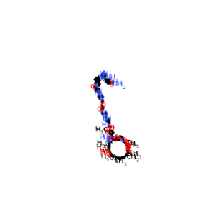 CO[C@H]1C[C@@H]2CC[C@@H](C)[C@@](O)(O2)C(=O)C(=O)N2CCCC[C@H]2C(=O)O[C@H]([C@H](N)C[C@@H]2CC[C@@H](OC(=O)NCc3cnc(N4CCN(C(=O)CCOCCN5CCN(c6ncc(C(=O)N7CCc8cc(Cn9nc(-c%10ccc%11oc(N)nc%11c%10)c%10c(N)ncnc%109)ccc8C7)cn6)CC5)CC4)nc3)[C@H](OC)C2)CC(N=[N+]=[N-])[C@H](C)/C=C(\C)[C@@H](O)[C@@H](O)C(=O)[C@H](C)C[C@H](C)/C=C/C=C/C=C/1C